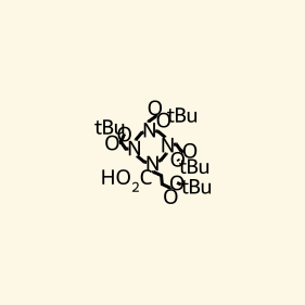 CC(C)(C)OC(=O)CCC(C(=O)O)N1CCN(CC(=O)OC(C)(C)C)CCN(CC(=O)OC(C)(C)C)CCN(CC(=O)OC(C)(C)C)CC1